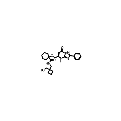 O=C(NCC1(CO)CCC1)C1(OCc2cc(=O)n3nc(-c4ccccc4)nc3[nH]2)CCCCC1